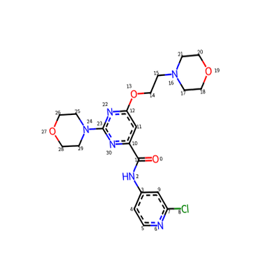 O=C(Nc1ccnc(Cl)c1)c1cc(OCCN2CCOCC2)nc(N2CCOCC2)n1